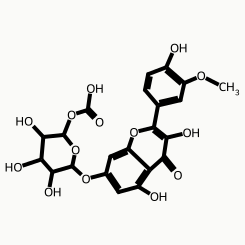 COc1cc(-c2oc3cc(OC4OC(OC(=O)O)C(O)C(O)C4O)cc(O)c3c(=O)c2O)ccc1O